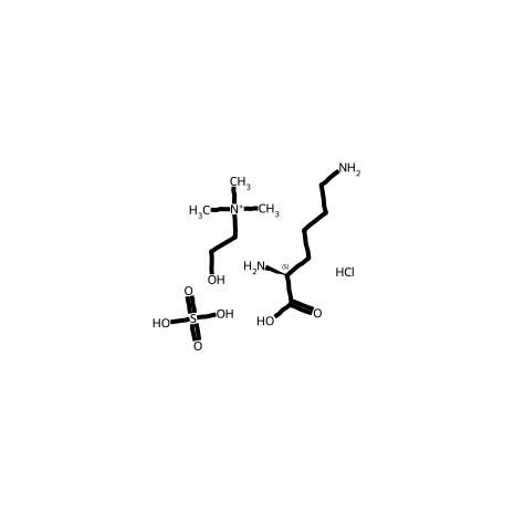 C[N+](C)(C)CCO.Cl.NCCCC[C@H](N)C(=O)O.O=S(=O)(O)O